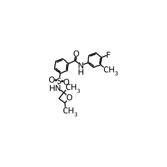 Cc1cc(NC(=O)c2cccc(S(=O)(=O)NC3(C)CC(C)O3)c2)ccc1F